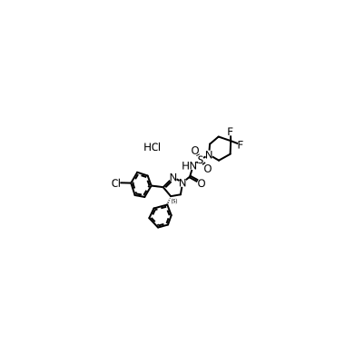 Cl.O=C(NS(=O)(=O)N1CCC(F)(F)CC1)N1C[C@H](c2ccccc2)C(c2ccc(Cl)cc2)=N1